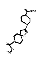 CNC(=S)C1CCC(C2=NOC3(CCN(C(=O)OC(C)(C)C)CC3)C2)CC1